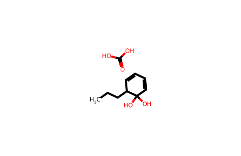 CCCC1C=CC=CC1(O)O.O=C(O)O